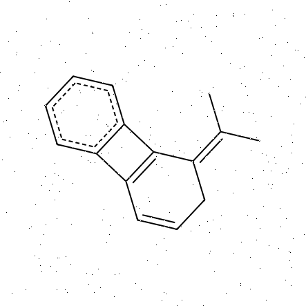 CC(C)=C1CC=CC2=C1c1ccccc12